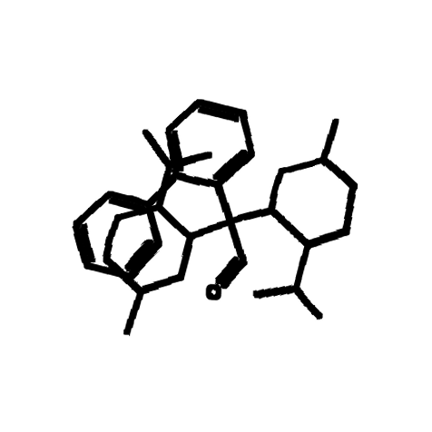 CC1CCC(C(C)C)C(C(C=O)(c2ccccc2-c2ccccc2)C2CC(C)CCC2C(C)C)C1